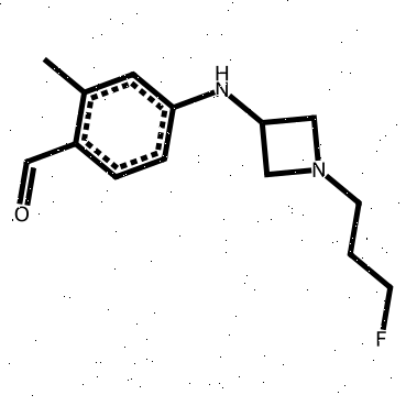 Cc1cc(NC2CN(CCCF)C2)ccc1C=O